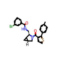 Cc1ccc(-c2sccc2C(=O)N2C[C@@H]3CC3[C@H]2CNC(=O)c2cccc(Br)c2)cc1